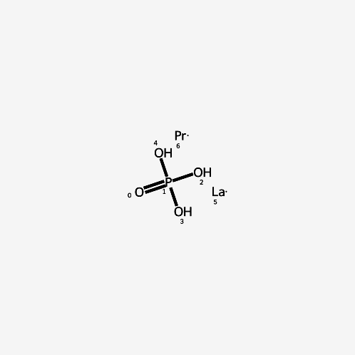 O=P(O)(O)O.[La].[Pr]